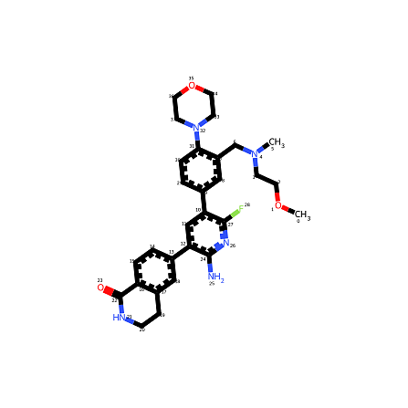 COCCN(C)Cc1cc(-c2cc(-c3ccc4c(c3)CCNC4=O)c(N)nc2F)ccc1N1CCOCC1